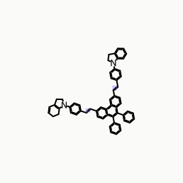 C1=CC2=C(CC1)N(c1ccc(/C=C/c3ccc4c(-c5ccccc5)c(-c5ccccc5)c5ccc(/C=C/c6ccc(N7CCc8ccccc87)cc6)cc5c4c3)cc1)CC2